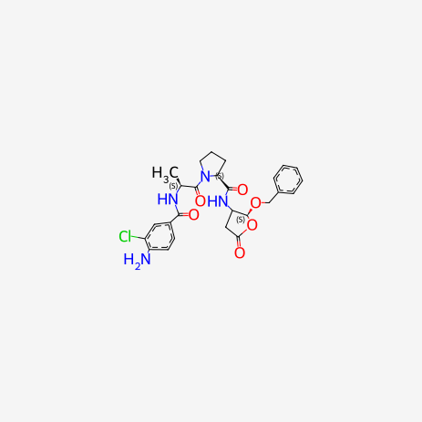 C[C@H](NC(=O)c1ccc(N)c(Cl)c1)C(=O)N1CCC[C@H]1C(=O)NC1CC(=O)O[C@@H]1OCc1ccccc1